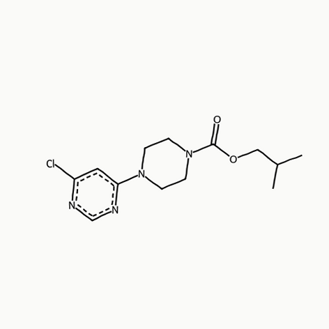 CC(C)COC(=O)N1CCN(c2cc(Cl)ncn2)CC1